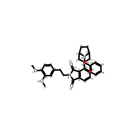 COc1ccc(CCN2C(=O)c3cccc(N4CC5CCC(C4)N5Cc4ccccc4)c3C2=O)cc1OC